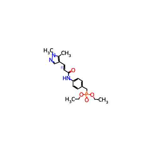 CCOP(=O)(Cc1ccc(NC(=O)/C=C/c2cnn(C)c2C)cc1)OCC